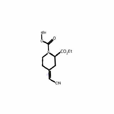 CCOC(=O)C1C/C(=C\C#N)CCN1C(=O)OC(C)(C)C